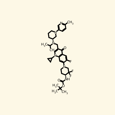 Cc1ccc(N2CCC[C@H](N(Cc3cn(C4CC4)c4cc(N5CC[C@H](NC(=O)OC(C)(C)C)C(F)(F)C5)c(F)cc4c3=O)C(C)C)C2)cn1